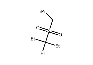 CCC(CC)(CC)S(=O)(=O)CC(C)C